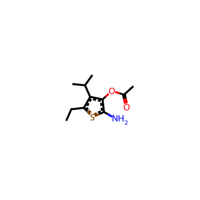 CCc1sc(N)c(OC(C)=O)c1C(C)C